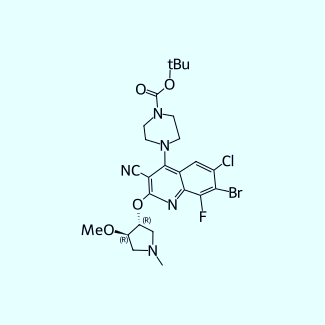 CO[C@@H]1CN(C)C[C@H]1Oc1nc2c(F)c(Br)c(Cl)cc2c(N2CCN(C(=O)OC(C)(C)C)CC2)c1C#N